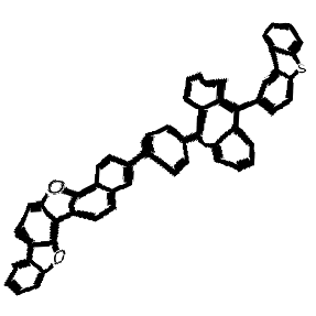 c1ccc2c(c1)oc1c2ccc2oc3c4ccc(-c5ccc(-c6c7ccccc7c(-c7ccc8sc9ccccc9c8c7)c7ccccc67)cc5)cc4ccc3c21